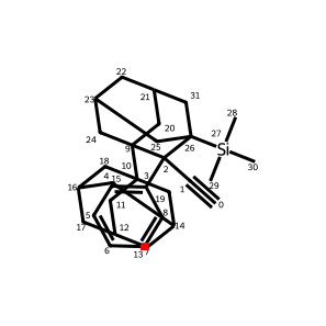 C#CC1(c2ccccc2)C2(C34CC5CC(CC(C5)C3)C4)CC3CC(C2)CC1([Si](C)(C)C)C3